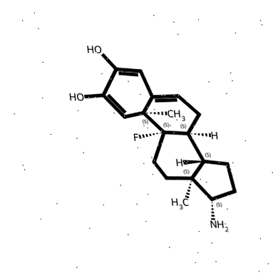 C[C@]12CC[C@]3(F)[C@@H](CC=C4C=C(O)C(O)=C[C@@]43C)[C@@H]1CC[C@@H]2N